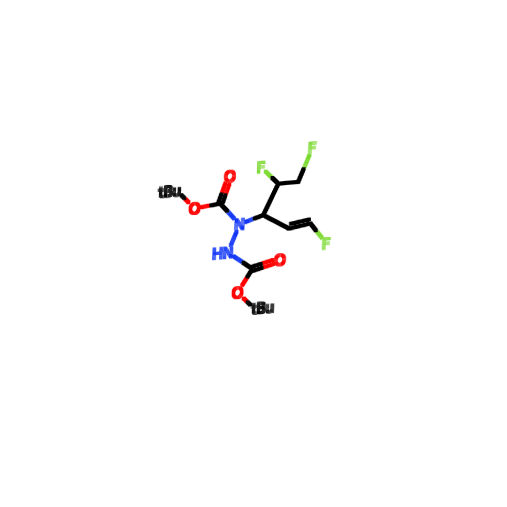 CC(C)(C)OC(=O)NN(C(=O)OC(C)(C)C)C(C=CF)C(F)CF